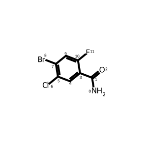 NC(=O)c1cc(Cl)c(Br)cc1F